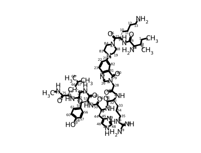 CC[C@H](C)[C@H](N)C(=O)N[C@@H](CCCCN)C(=O)N1CCN(c2ccc3ncn(CC(=O)N[C@@H](CCCNC(=N)N)C(=O)N[C@@H](Cc4c[nH]cn4)C(=O)N[C@@H](Cc4ccc(O)cc4)C(=O)N[C@@H](CC(C)C)C(=O)N[C@@H](C)C(=O)NC)c(=O)c3c2)CC1